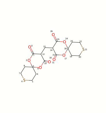 O=C1OC2(CCSCC2)OC(=O)C1CC1C(=O)OC2(CCSCC2)OC1=O